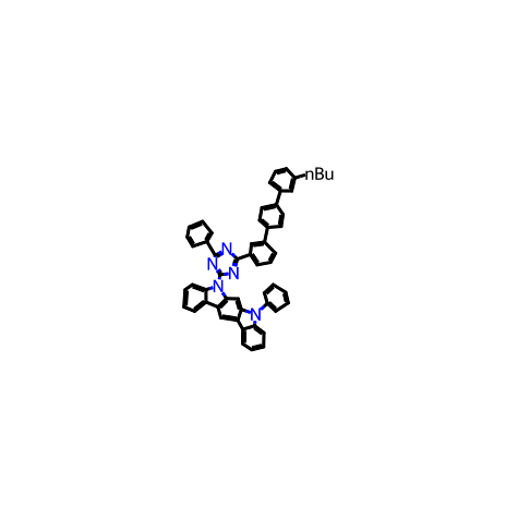 CCCCc1cccc(-c2ccc(-c3cccc(-c4nc(-c5ccccc5)nc(-n5c6ccccc6c6cc7c8ccccc8n(-c8ccccc8)c7cc65)n4)c3)cc2)c1